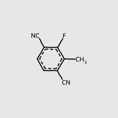 Cc1c(C#N)ccc(C#N)c1F